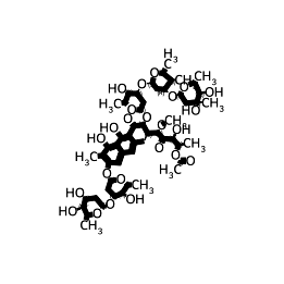 CO[C@H](C(=O)[C@@H](O)[C@@H](C)OC(C)=O)[C@@H]1Cc2cc3cc(O[C@H]4C[C@@H](O[C@H]5C[C@@H](O)[C@H](O)C(C)O5)[C@H](O)C(C)O4)c(C)c(O)c3c(O)c2C(=O)[C@H]1O[C@H]1C[C@@H](O[C@H]2C[C@@H](O[C@H]3C[C@](C)(O)[C@H](O)C(C)O3)[C@@H](C)C(C)O2)[C@H](O)C(C)O1